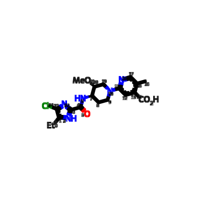 CCc1[nH]c(C(=O)N[C@@H]2CCN(c3cc(C(=O)O)c(C)cn3)C[C@@H]2OC)nc1Cl